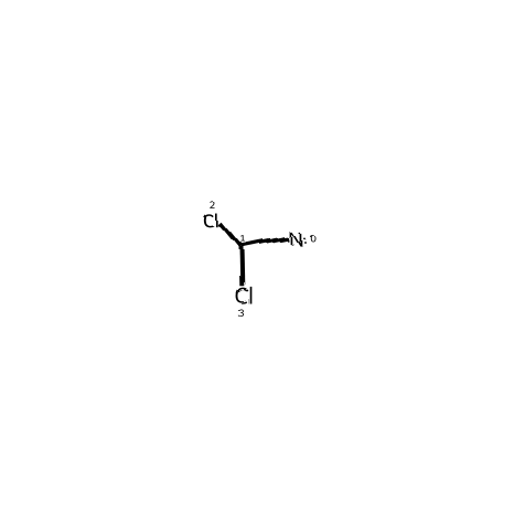 [N]C(Cl)Cl